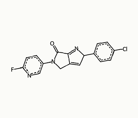 O=C1C2=NC(c3ccc(Cl)cc3)C=C2CN1c1ccc(F)nc1